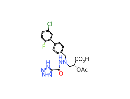 CC(=O)O[C@H](CN(Cc1ccc(-c2cc(Cl)ccc2F)cc1)NC(=O)c1nnn[nH]1)C(=O)O